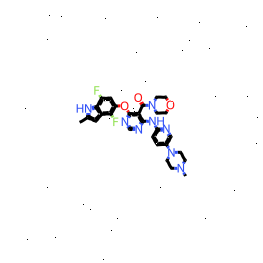 Cc1cc2c(F)c(Oc3ncnc(Nc4ccc(N5CCN(C)CC5)cn4)c3C(=O)N3CCOCC3)cc(F)c2[nH]1